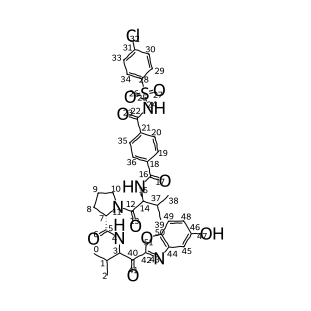 CC(C)C(NC(=O)[C@@H]1CCCN1C(=O)[C@@H](NC(=O)c1ccc(C(=O)NS(=O)(=O)c2ccc(Cl)cc2)cc1)C(C)C)C(=O)c1nc2cc(O)ccc2o1